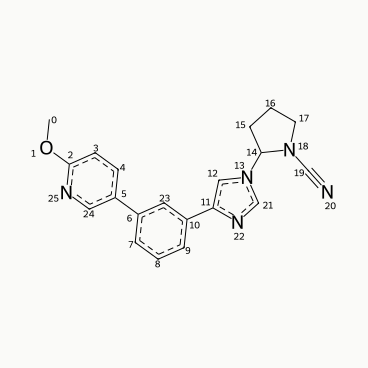 COc1ccc(-c2cccc(-c3cn(C4CCCN4C#N)cn3)c2)cn1